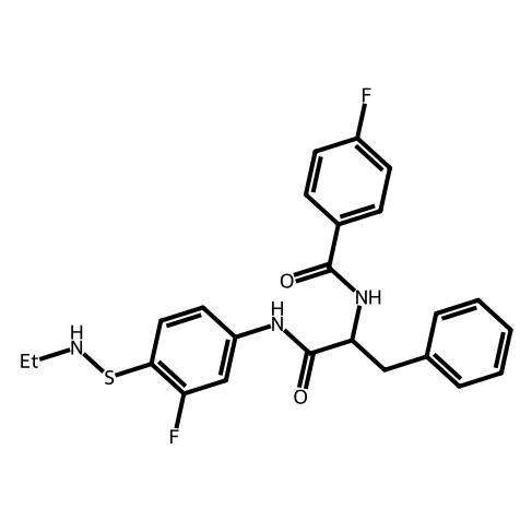 CCNSc1ccc(NC(=O)C(Cc2ccccc2)NC(=O)c2ccc(F)cc2)cc1F